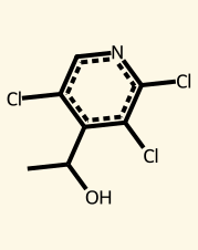 CC(O)c1c(Cl)cnc(Cl)c1Cl